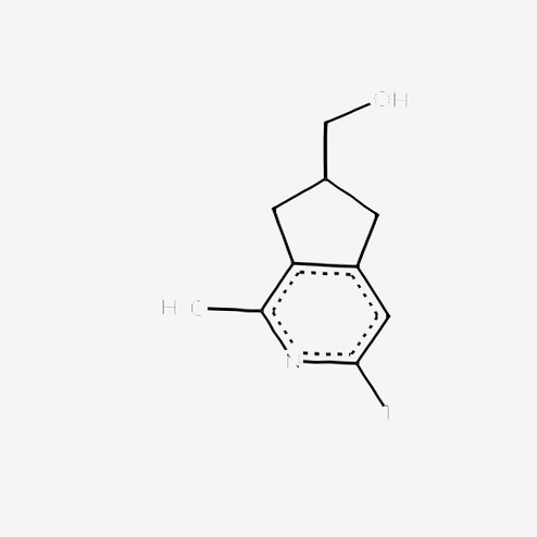 Cc1nc(I)cc2c1CC(CO)C2